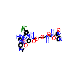 CC(C)N(C)[C@@H]1CC[C@H](N2CC[C@H](Nc3ncnc4ccc(C(F)(F)F)cc34)C2=O)[C@H](NC(=O)[C@H]2CC[C@@H](NC(=O)COCCOCCNC(=O)CNC(=O)[C@H]3CC(=O)N(C)[C@@H]3c3cccnc3)CC2)C1